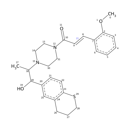 COc1ccccc1/C=C/C(=O)N1CCN(C(C)C(O)c2ccc3c(c2)CCCS3)CC1